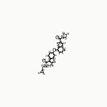 Cc1sc2cc(Oc3ccnc4cc(C(=O)N5CCC5)sc34)ccc2c1C(=O)NCC1CC1